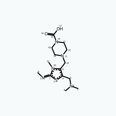 CN=c1sc(CN(C)C)c(CN2CCN(C(=O)O)CC2)n1C